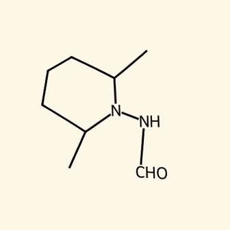 CC1CCCC(C)N1NC=O